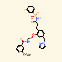 COc1cccc(C(=O)NCCOc2cc(Cn3cccn3)ccc2CCC(=O)NS(=O)(=O)c2cccc(F)c2)c1